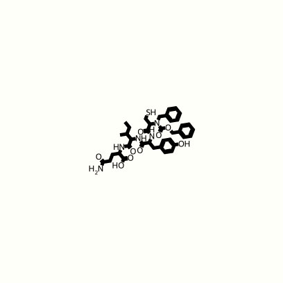 CCC(C)C(NC(=O)C(Cc1ccc(O)cc1)NC(=O)C(CS)N(Cc1ccccc1)C(=O)OCc1ccccc1)C(=O)NC(CCC(N)=O)C(=O)O